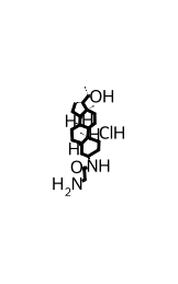 C[C@H](O)[C@H]1CC[C@H]2[C@@H]3CC[C@H]4C[C@H](NC(=O)CN)CC[C@]4(C)[C@H]3CC[C@]12C.Cl